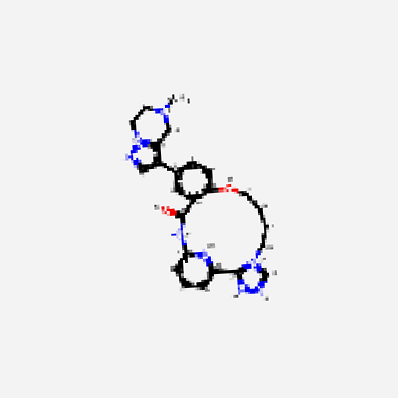 CN1CCn2ncc(-c3ccc4c(c3)C(=O)Nc3cccc(n3)-c3nncn3CCCCO4)c2C1